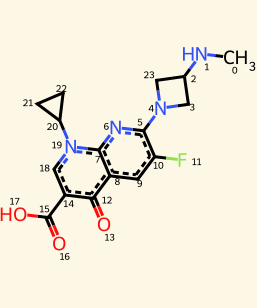 CNC1CN(c2nc3c(cc2F)c(=O)c(C(=O)O)cn3C2CC2)C1